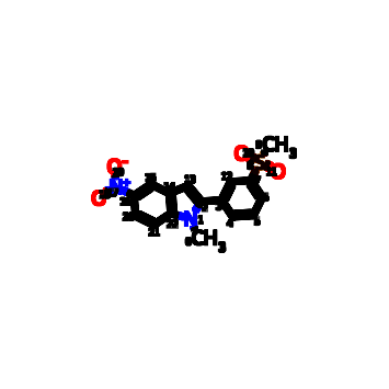 Cn1c(-c2cccc(S(C)(=O)=O)c2)cc2cc([N+](=O)[O-])ccc21